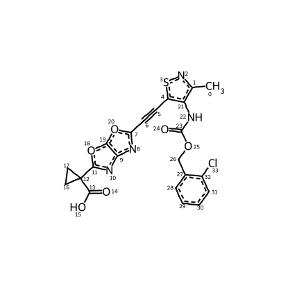 Cc1nsc(C#Cc2nc3nc(C4(C(=O)O)CC4)oc3o2)c1NC(=O)OCc1ccccc1Cl